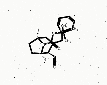 CC(C)(C)OC(=O)N1[C@H]2CC[C@@H]1[C@H](C=O)N(Cc1ccccc1)C2